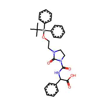 CC(C)(C)[Si](OCCN1CCN(C(=O)NC(C(=O)O)c2ccccc2)C1=O)(c1ccccc1)c1ccccc1